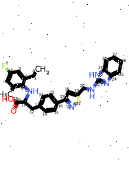 CCc1cc(F)cc(C)c1NC(Cc1ccc(-c2cc(CNc3nc4ccccc4[nH]3)sn2)cc1)C(=O)O